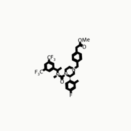 COC(=O)Cc1ccc(CN2CCN(C(=O)N(C)C(C)c3cc(C(F)(F)F)cc(C(F)(F)F)c3)[C@@H](c3ccc(F)cc3C)C2)cc1